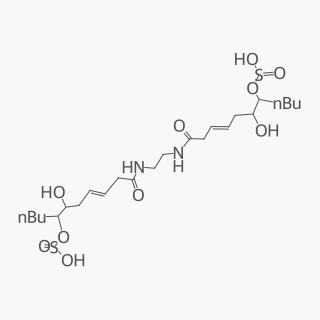 CCCCC(OS(=O)O)C(O)C/C=C/CC(=O)NCCNC(=O)C/C=C/CC(O)C(CCCC)OS(=O)O